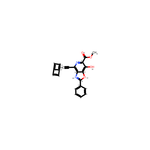 C#Cc1nc(C(=O)OC)c(O)c2oc(-c3ccccc3)nc12.c1cc2ccc1-2